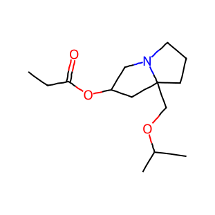 CCC(=O)OC1CN2CCCC2(COC(C)C)C1